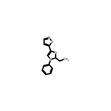 CCC1OC(c2ccno2)=[C]N1c1ccccc1